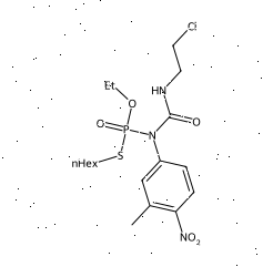 CCCCCCSP(=O)(OCC)N(C(=O)NCCCl)c1ccc([N+](=O)[O-])c(C)c1